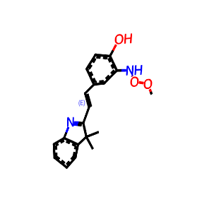 COONc1cc(/C=C/C2=Nc3ccccc3C2(C)C)ccc1O